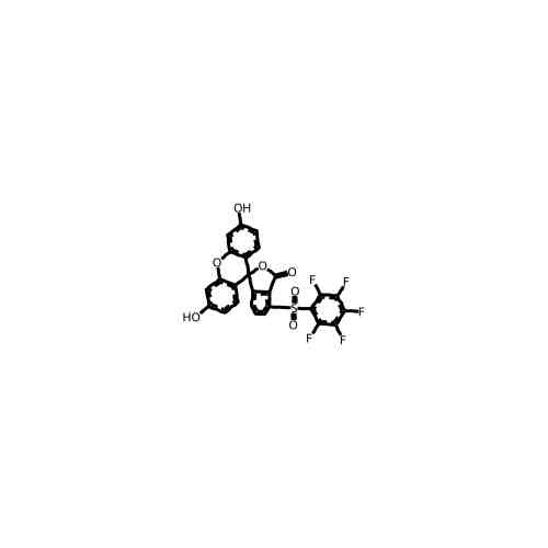 O=C1OC2(c3ccc(O)cc3Oc3cc(O)ccc32)c2cccc(S(=O)(=O)c3c(F)c(F)c(F)c(F)c3F)c21